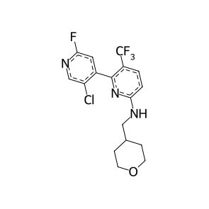 Fc1cc(-c2nc(NCC3CCOCC3)ccc2C(F)(F)F)c(Cl)cn1